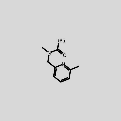 Cc1cccc(CN(C)C(=O)C(C)(C)C)n1